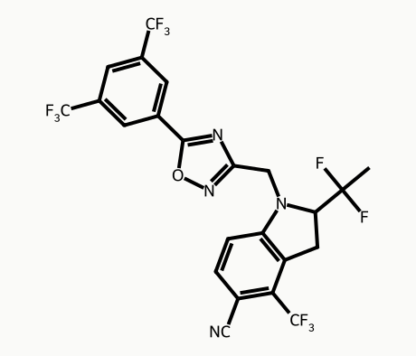 CC(F)(F)C1Cc2c(ccc(C#N)c2C(F)(F)F)N1Cc1noc(-c2cc(C(F)(F)F)cc(C(F)(F)F)c2)n1